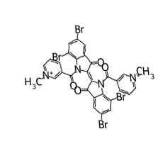 C[n+]1cccc(C(=O)N2/C(=C3\C(=O)c4cc(Br)cc(Br)c4N3C(=O)c3ccc[n+](C)c3)C(=O)c3cc(Br)cc(Br)c32)c1